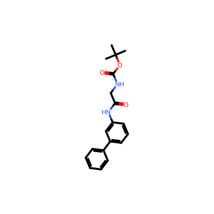 CC(C)(C)OC(=O)NCC(=O)Nc1cccc(-c2ccccc2)c1